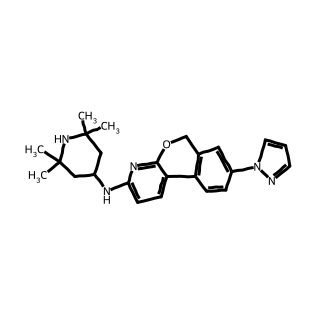 CC1(C)CC(Nc2ccc3c(n2)OCc2cc(-n4cccn4)ccc2-3)CC(C)(C)N1